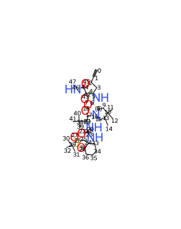 C#CCCC(NC(=O)[C@@H]1CC(C)(C)C(C)CN1C(=O)[C@@H](NC(=O)NC1(CS(=O)(=O)C(C)(C)C)CCCCC1)C(C)(C)C)C(=O)C(=O)NC